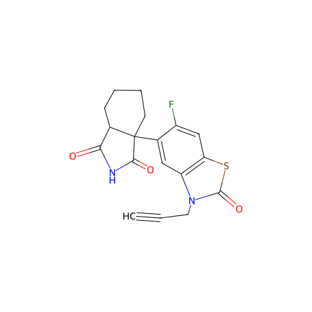 C#CCn1c(=O)sc2cc(F)c(C34CCCCC3C(=O)NC4=O)cc21